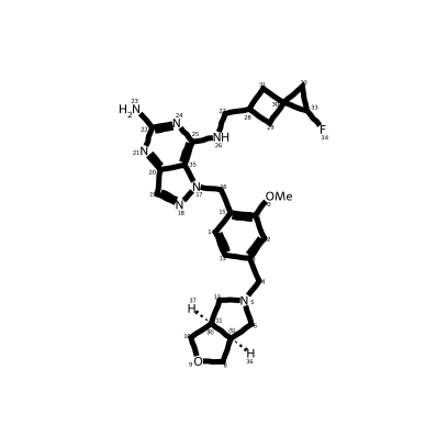 COc1cc(CN2C[C@H]3COC[C@H]3C2)ccc1Cn1ncc2nc(N)nc(NCC3CC4(C3)CC4F)c21